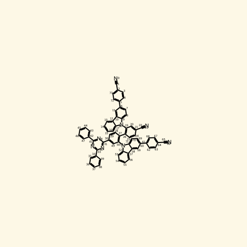 N#Cc1ccc(-c2ccc3c(c2)c2ccccc2n3-c2cc(C#N)ccc2-c2ccc(-c3nc(-c4ccccc4)nc(-c4ccccc4)n3)cc2-n2c3ccccc3c3cc(-c4ccc(C#N)cc4)ccc32)cc1